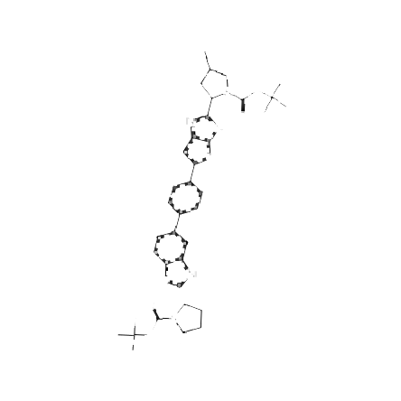 CC1CC(c2nc3sc(-c4ccc(-c5ccc6nc([C@@H]7CC[C@H](C)N7C(=O)OC(C)(C)C)[nH]c6c5)cc4)cc3[nH]2)N(C(=O)OC(C)(C)C)C1